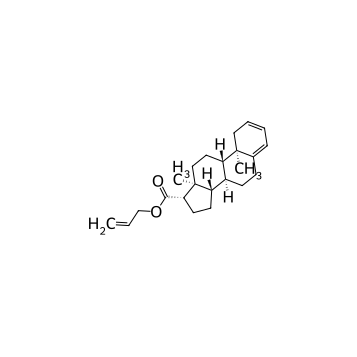 C=CCOC(=O)[C@H]1CC[C@H]2[C@@H]3CCC4=CC=CC[C@]4(C)[C@H]3CC[C@]12C